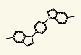 Cc1ccc2c(c1)C=CC2c1ccc(-n2ccc3cc(C)ccc32)cc1